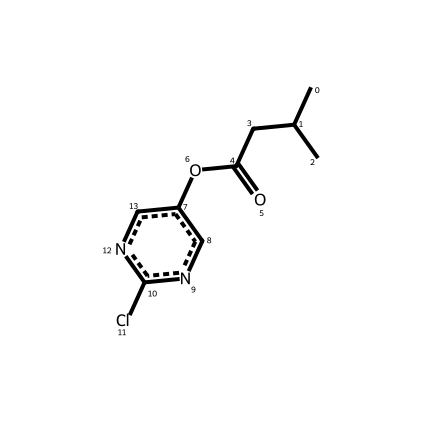 CC(C)CC(=O)Oc1cnc(Cl)nc1